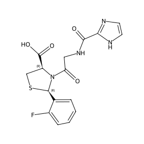 O=C(NCC(=O)N1[C@@H](c2ccccc2F)SC[C@H]1C(=O)O)c1ncc[nH]1